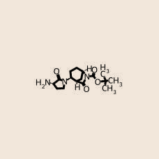 CC(C)(C)OC(=O)N1C(=O)[C@@H]2C[C@H]1CC[C@@H]2N1CC[C@H](N)C1=O